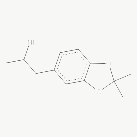 CC(N)Cc1ccc2c(c1)OC(C)(C)O2